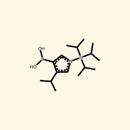 CC(C)c1cn([Si](C(C)C)(C(C)C)C(C)C)cc1B(O)O